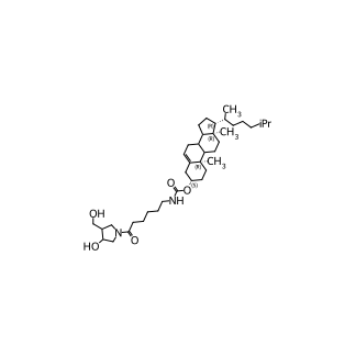 CC(C)CCCC(C)[C@H]1CCC2C3CC=C4C[C@@H](OC(=O)NCCCCCC(=O)N5CC(O)C(CO)C5)CC[C@]4(C)C3CC[C@@]21C